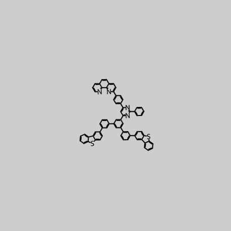 c1ccc(-c2nc(-c3ccc(-c4ccc5ccc6cccnc6c5n4)cc3)cc(-c3cc(-c4cccc(-c5ccc6sc7ccccc7c6c5)c4)cc(-c4cccc(-c5ccc6sc7ccccc7c6c5)c4)c3)n2)cc1